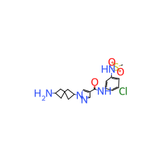 CS(=O)(=O)Nc1cc(Cl)cc(NC(=O)c2cnn(C3CC4(CC(N)C4)C3)c2)c1